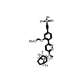 COCOc1cc(C#C[Si](C(C)C)(C(C)C)C(C)C)ccc1-c1ccc(N(C)[C@@H]2C[C@H]3CC[C@@H]([C@@H]2F)N3C(=O)O)nn1